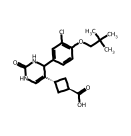 CC(C)(C)COc1ccc(C2NC(=O)NC=C2[C@H]2C[C@H](C(=O)O)C2)cc1Cl